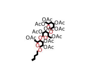 C=CCCCO[C@@H]1OC(COC(C)=O)[C@@H](O[C@@H]2OC(COC(C)=O)[C@H](O[C@H]3OC(COC(C)=O)[C@H](OC(C)=O)C(OC(C)=O)C3OC(C)=O)C(OC(C)=O)C2OC(C)=O)C(OC(C)=O)C1OC(C)=O